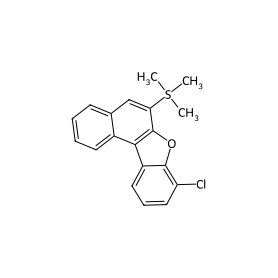 CS(C)(C)c1cc2ccccc2c2c1oc1c(Cl)cccc12